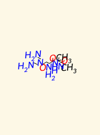 CNC(=O)[C@H](C)NC(=O)C(N)CC(=O)N(CCN)CCN